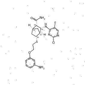 NC(=O)[C@H]1[C@H]2C[C@@H]([C@H]1Nc1nc(Cl)ncc1F)[C@H](SCCOc1cccc(N)c1)C2